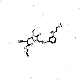 C=CCOC(=O)C(C#N)CC1SC(CCNc2cccc(NCCOC)c2)C(=O)N1CC